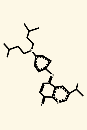 CC(C)CCN(CCC(C)C)c1ccc(N=C2C=CC(=O)c3ncc(C(C)C)cc32)cc1